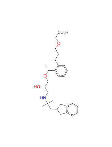 C[C@@H](OC[C@@H](O)CNC(C)(C)CC1Cc2ccccc2C1)c1ccccc1CCCOCC(=O)O